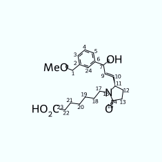 COCc1cccc(C(O)/C=C/[C@H]2CCC(=O)N2CCCCCCC(=O)O)c1